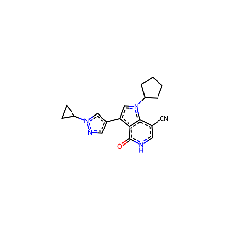 N#Cc1c[nH]c(=O)c2c(-c3cnn(C4CC4)c3)cn(C3CCCC3)c12